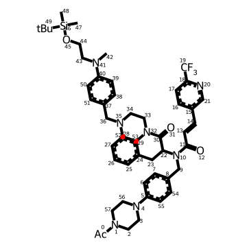 CC(=O)N1CCN(c2ccc(CN(C(=O)C=Cc3ccc(C(F)(F)F)nc3)C(Cc3ccccc3)C(=O)N3CCN(Cc4ccc(N(C)CCO[Si](C)(C)C(C)(C)C)cc4)CC3)cc2)CC1